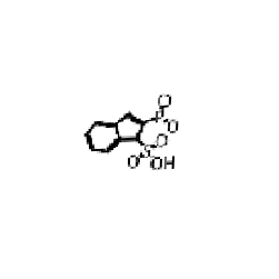 O=P(=O)C1=Cc2ccccc2C1S(=O)(=O)O